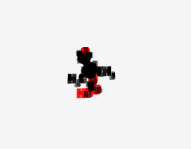 Cc1cc(-c2ccoc2)cc(C)c1OCC(=O)O